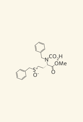 COC(=O)[C@H](CC[S+]([O-])Cc1ccccc1)N(Cc1ccccc1)C(=O)O